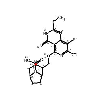 CSc1nc2c(F)c(Cl)nc(OCC3NCC4CCC3N4C(=O)O)c2c(=O)[nH]1